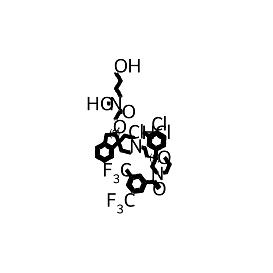 Cl.O=C(CO[C@H]1Cc2ccccc2C12CCN(CC[C@]1(c3ccc(Cl)c(Cl)c3)CN(C(=O)c3cc(C(F)(F)F)cc(C(F)(F)F)c3)CCO1)CC2)N(O)CCCCO